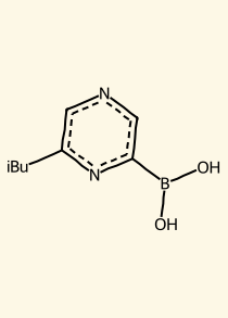 CCC(C)c1cncc(B(O)O)n1